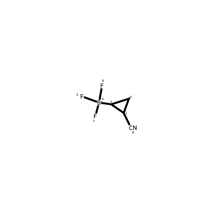 N#CC1CC1[B-](F)(F)F